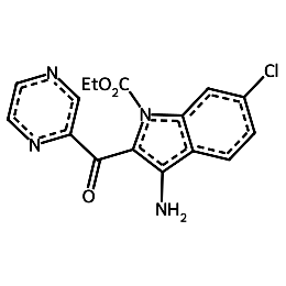 CCOC(=O)n1c(C(=O)c2cnccn2)c(N)c2ccc(Cl)cc21